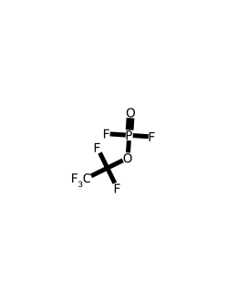 O=P(F)(F)OC(F)(F)C(F)(F)F